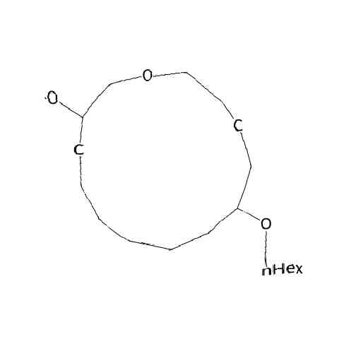 [CH2]CCCCCOC1CCCCCCC([O])COCCCC1